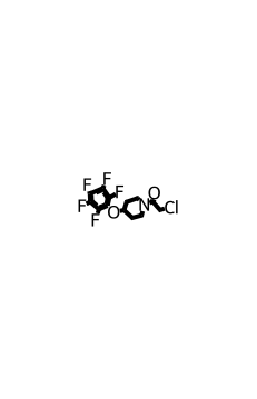 O=C(CCl)N1CCC(Oc2c(F)c(F)c(F)c(F)c2F)CC1